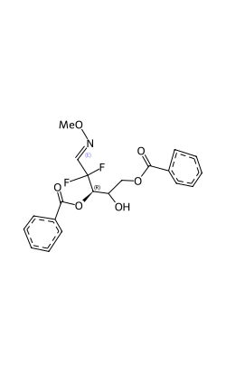 CO/N=C/C(F)(F)[C@H](OC(=O)c1ccccc1)C(O)COC(=O)c1ccccc1